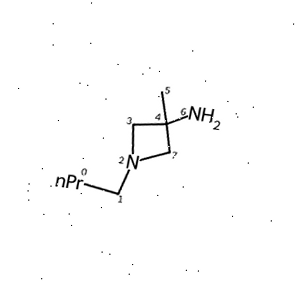 CCCCN1CC(C)(N)C1